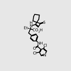 CC[C@@](Cc1ccc(NC(=O)c2c(Cl)cncc2Cl)cc1)(NC1=CC(=S)C12CCCCC2)C(=O)O